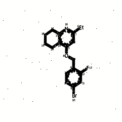 CCc1cc(OCc2ccc(Br)cc2F)c2c(n1)CCCC2